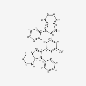 Brc1cc(C2=NC3CCC=NC3N2c2ccccc2)cc(-c2nc3cccnc3n2-c2ccccc2)c1